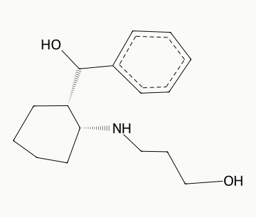 OCCCN[C@@H]1CCCC[C@@H]1C(O)c1ccccc1